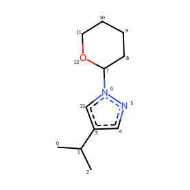 CC(C)c1cnn(C2CCCCO2)c1